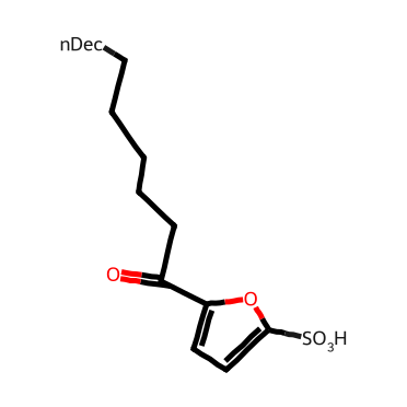 CCCCCCCCCCCCCCCC(=O)c1ccc(S(=O)(=O)O)o1